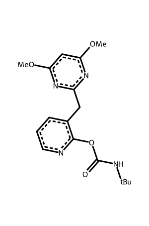 COc1cc(OC)nc(Cc2cccnc2OC(=O)NC(C)(C)C)n1